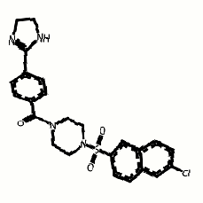 O=C(c1ccc(C2=NCCN2)cc1)N1CCN(S(=O)(=O)c2ccc3cc(Cl)ccc3c2)CC1